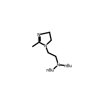 CCCCN(CCCC)CCN1CCN=C1C